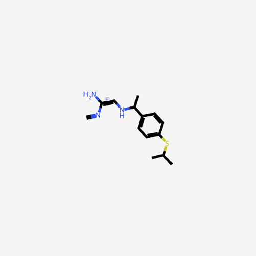 C=N/C(N)=C\NC(C)c1ccc(SC(C)C)cc1